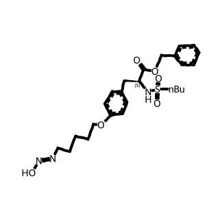 CCCCS(=O)(=O)N[C@@H](Cc1ccc(OCCCCCN=NO)cc1)C(=O)OCc1ccccc1